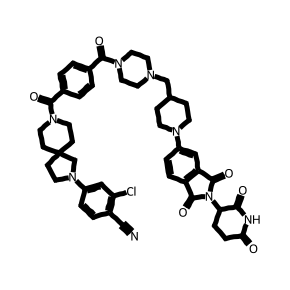 N#Cc1ccc(N2CCC3(CCN(C(=O)c4ccc(C(=O)N5CCN(CC6CCN(c7ccc8c(c7)C(=O)N(C7CCC(=O)NC7=O)C8=O)CC6)CC5)cc4)CC3)C2)cc1Cl